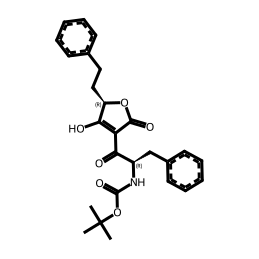 CC(C)(C)OC(=O)N[C@H](Cc1ccccc1)C(=O)C1=C(O)[C@@H](CCc2ccccc2)OC1=O